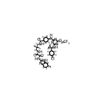 Cc1ccc2nc(NC(=O)C(=O)NCC(C)(C)CNC(=O)c3ccc(Nc4nc(NC5(c6ccc(Cl)cc6)CC5)nc(OCC(F)(F)F)n4)cc3)[nH]c2c1